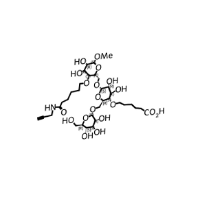 C#CCNC(=O)CCCCCO[C@H]1[C@H](O)[C@@H](O)[C@@H](OC)O[C@@H]1CO[C@H]1O[C@H](CO[C@H]2O[C@H](CO)[C@@H](O)[C@H](O)[C@H]2O)[C@@H](OCCCCCC(=O)O)[C@H](O)[C@H]1O